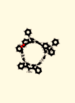 CC(C)(C)c1c2c3ccccc3n3c2cc2c1c1ccccc1n2-c1ccc(cc1)CC(C)(C)c1c(-c2ccccc2)ccc2c1c1ccc(cc1n2-c1ccccc1)-c1ccc2c(c1C(C)(C)Cc1ccc-3cc1)c1ccccc1n2-c1ccccc1